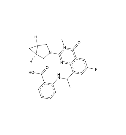 CC(Nc1ccccc1C(=O)O)c1cc(F)cc2c(=O)n(C)c(N3C[C@H]4C[C@H]4C3)nc12